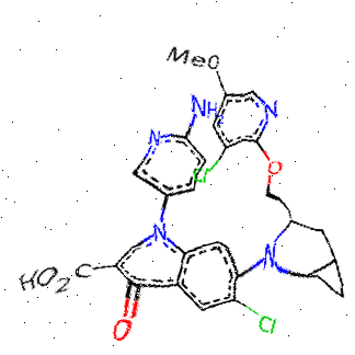 COc1cnc(OC[C@H]2CC3CC3N2c2cc3c(cc2Cl)c(=O)c(C(=O)O)cn3-c2ccc(N)nc2)c(Cl)c1